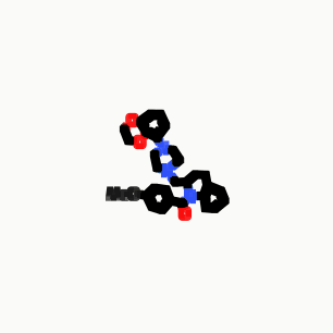 COc1ccc(C(=O)N2c3ccccc3CCC2CN2CCN(c3cccc4c3OCCO4)CC2)cc1